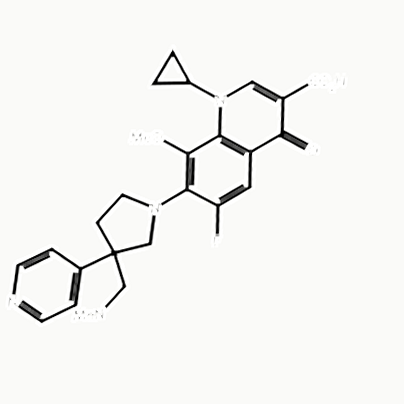 CNCC1(c2ccncc2)CCN(c2c(F)cc3c(=O)c(C(=O)O)cn(C4CC4)c3c2OC)C1